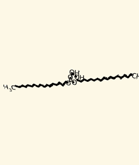 CCCCCCCCCCCCCCCCCCOP(OCCCCCCCCCCCCCCCCCC)OP(O)O